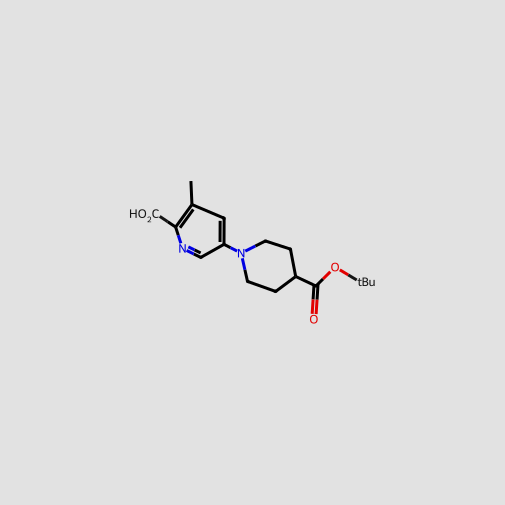 Cc1cc(N2CCC(C(=O)OC(C)(C)C)CC2)cnc1C(=O)O